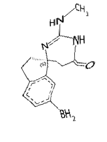 Bc1ccc2c(c1)[C@]1(CC2)CC(=O)NC(NC)=N1